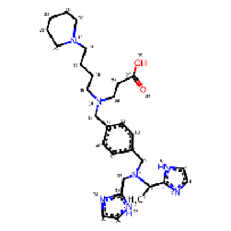 CC(c1ncc[nH]1)N(Cc1ccc(CN(CCCCN2CCCCC2)CCC(=O)O)cc1)Cc1ncc[nH]1